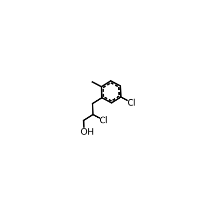 Cc1ccc(Cl)cc1CC(Cl)CO